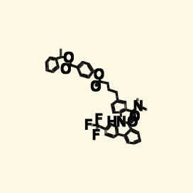 CC(OC(=O)c1ccc(OC(=O)CCCc2ccc(NC(=O)c3ccccc3-c3ccc(C(F)(F)F)cc3)c(C(=O)N(C)C)c2)cc1)c1ccccc1